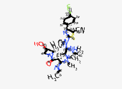 C=C/N=C(/CC(=O)N1CC(O)C1)N(C)N(C)/C(CC)=C(\NC=C)N(C)c1nc(-c2ccc(F)cc2)c(C#N)s1